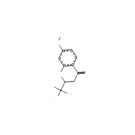 COc1ccc2c(c1)OC(C(C)(C)C)CC2=O